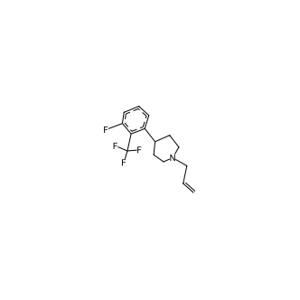 C=CCN1CCC(c2cccc(F)c2C(F)(F)F)CC1